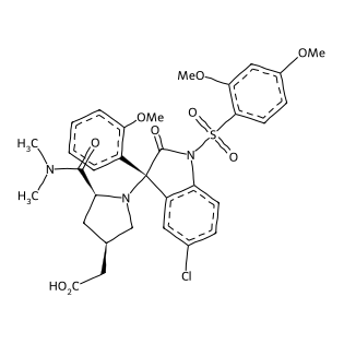 COc1ccc(S(=O)(=O)N2C(=O)[C@@](c3ccccc3OC)(N3C[C@@H](CC(=O)O)C[C@H]3C(=O)N(C)C)c3cc(Cl)ccc32)c(OC)c1